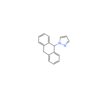 c1ccc2c(c1)Cc1ccccc1C2n1cccn1